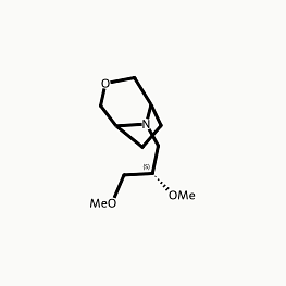 COC[C@H](CN1C2CCC1COC2)OC